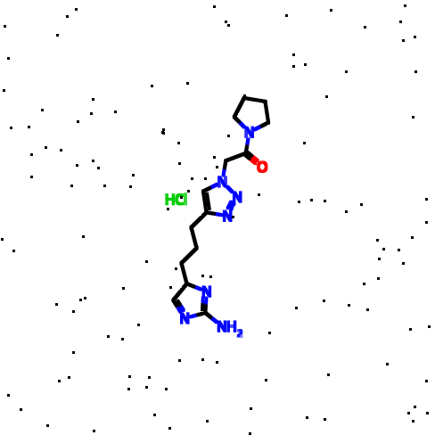 Cl.NC1=NC(CCCc2cn(CC(=O)N3CCCC3)nn2)C=N1